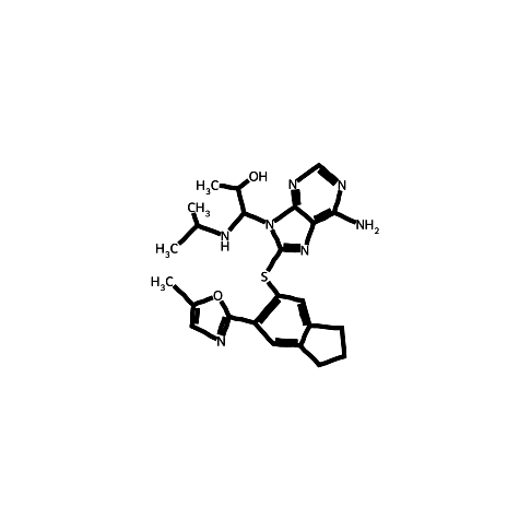 Cc1cnc(-c2cc3c(cc2Sc2nc4c(N)ncnc4n2C(NC(C)C)C(C)O)CCC3)o1